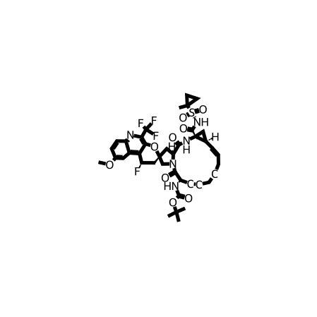 COc1ccc2nc(C(F)(F)F)c3c(c2c1)[C@@H](F)C[C@]1(C[C@H]2C(=O)N[C@]4(C(=O)NS(=O)(=O)C5(C)CC5)C[C@H]4/C=C\CCCCC[C@H](NC(=O)OC(C)(C)C)C(=O)N2C1)O3